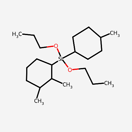 CCCO[Si](OCCC)(C1CCC(C)CC1)C1CCCC(C)C1C